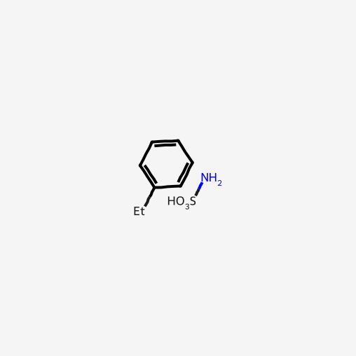 CCc1ccccc1.NS(=O)(=O)O